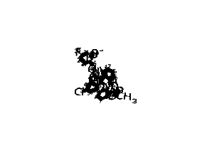 CS(=O)(=O)N[C@H]1CCCC[C@@H]1N1C(=O)c2ccccc2[C@@H](C(=O)NOCc2ccc(F)c[n+]2[O-])[C@@H]1c1ccc(Cl)cc1Cl